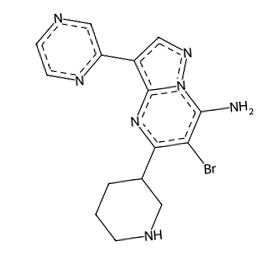 Nc1c(Br)c(C2CCCNC2)nc2c(-c3cnccn3)cnn12